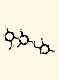 COc1cnc(Cl)cc1-n1c(C)cc(OCc2ncc(F)cc2F)cc1=O